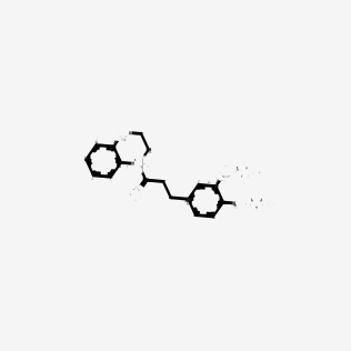 COc1ccc(CCC(=O)N2CCOc3ccccc32)cc1OC